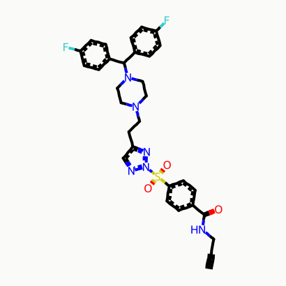 C#CCNC(=O)c1ccc(S(=O)(=O)n2ncc(CCN3CCN(C(c4ccc(F)cc4)c4ccc(F)cc4)CC3)n2)cc1